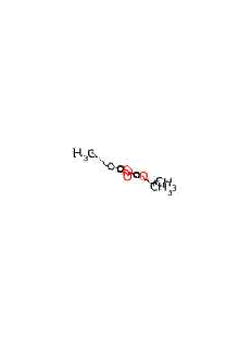 CCCCCCCC1CCC(c2ccc(OC(=O)c3ccc(OCCCC(C)CC)cc3)cc2)CC1